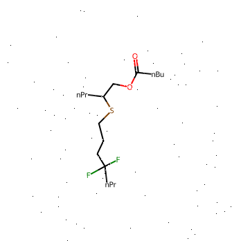 CCCCC(=O)OCC(CCC)SCCCC(F)(F)CCC